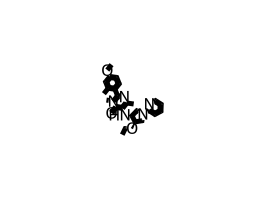 CCO[C@@H]1CN(c2ccccn2)C[C@H]1Nc1c(C)nc(-c2ccc(OC)cc2C)n(C)c1=O